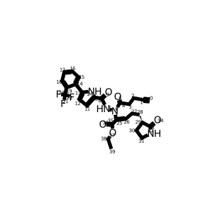 C#CCCC(=O)N(NC(=O)c1ccc(-c2ccccc2C(F)(F)F)[nH]1)/C(=C\CC[C@H]1CCNC1=O)C(=O)OCC